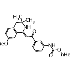 CCCCCCOC(=O)Nc1cccc(C(=O)/C=C2\NC(C)(C)Cc3ccc(OC)cc32)c1